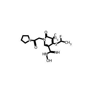 Cc1c(SC(C)F)c(C(=N)NO)cn(CC(=O)N2CCCC2)c1=O